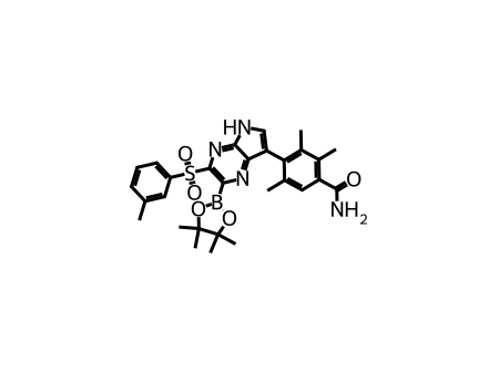 Cc1cccc(S(=O)(=O)c2nc3[nH]cc(-c4c(C)cc(C(N)=O)c(C)c4C)c3nc2B2OC(C)(C)C(C)(C)O2)c1